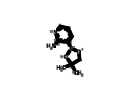 CC1(C)COB(c2cccnc2N)O1